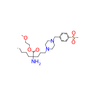 [CH2]CCCC(N)(CCCN1CCN(Cc2ccc(S(C)(=O)=O)cc2)CC1)C(=O)OCCOC